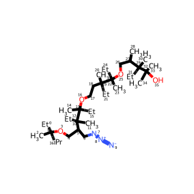 CCC(C)(OCC(CN=[N+]=[N-])C(C)(CC)C(C)(CC)OCCC(C)(CC)C(C)(CC)OCC(C)C(C)(CC)C(C)(C)O)C(C)C